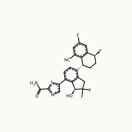 N#Cc1cc(F)cc2c1[C@@H](c1ccc(-c3cnc(C(N)=O)s3)c3c1CC(F)(F)[C@H]3O)CC[C@@H]2F